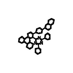 c1ccc(-c2nc(-c3ccccc3)nc(-c3c(-c4ccc(-c5ccc6ccccc6c5)cc4)ccc4c5ccccc5c5ccccc5c34)n2)cc1